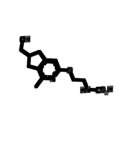 Cc1nc(OCCNC(=O)O)cc2c1CC(CO)C2